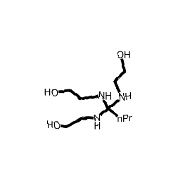 CCCC(NCCO)(NCCO)NCCO